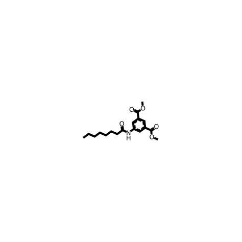 CCCCCCCC(=O)Nc1cc(C(=O)OC)cc(C(=O)OC)c1